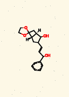 OC(C=CC1C[C@H]2[C@@H](CC23OCCO3)C1O)c1ccccc1